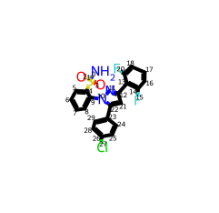 NS(=O)(=O)c1ccccc1-n1nc(-c2c(F)cccc2F)cc1-c1ccc(Cl)cc1